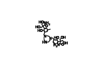 Cc1cc(CN2CCNCCN(Cc3cc(C)cc(C(CO)(CO)C(N)=O)c3O)CC2)c(O)c(C(CO)(CO)C(N)=O)c1